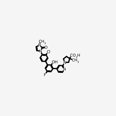 Cn1ccn(-c2ccc(-c3cc(F)cc(-c4ccnc(N5CCC(C)(C(=O)O)C5)c4)c3O)cc2Cl)c1=O